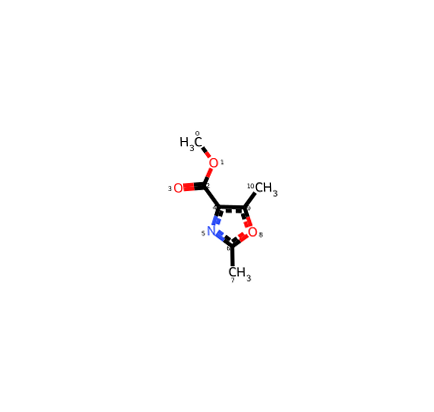 COC(=O)c1nc(C)oc1C